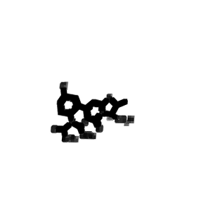 CC(C)COC(=O)N(C(=O)OCC(C)C)c1ccc(Cl)cc1-c1cc2n(c(=O)c1)[C@H](C(=O)O)C(C)S2